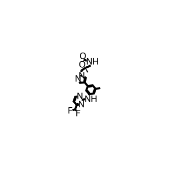 Cc1cc(Nc2nccc(C(F)F)n2)cc(-c2cnn(C[C@@]3(C)CNC(=O)O3)c2)c1